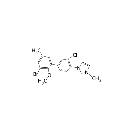 COc1c(Br)cc(C)cc1-c1ccc(N2C=CN(C)C2)c(Cl)c1